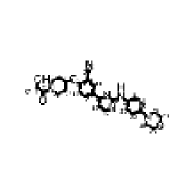 C[C@H](O)C(=O)N1CCC(Oc2ccc(-c3ccnc(Nc4ccc(N5CCOCC5)nc4)n3)cc2C#N)CC1